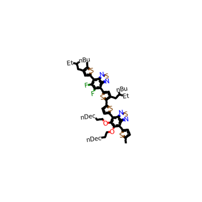 CCCCCCCCCCCCOc1c(OCCCCCCCCCCCC)c(-c2ccc(-c3sc(-c4c(F)c(F)c(-c5cc(CC(CC)CCCC)c(C)s5)c5nsnc45)cc3CC(CC)CCCC)s2)c2nsnc2c1-c1ccc(C)s1